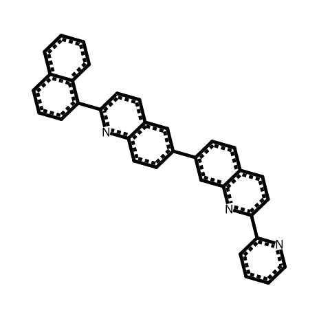 c1ccc(-c2ccc3ccc(-c4ccc5nc(-c6cccc7ccccc67)ccc5c4)cc3n2)nc1